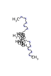 CC/C=C\C/C=C\C/C=C\C/C=C\C/C=C\CCCC(=O)N[C@@H](C)C(=O)O[C@H](C(=O)CCC/C=C\C/C=C\C/C=C\C/C=C\C/C=C\CC)[C@H](NC)C(=O)OC